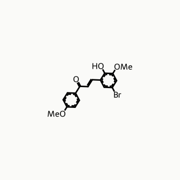 COc1ccc(C(=O)C=Cc2cc(Br)cc(OC)c2O)cc1